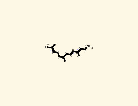 CC/C(C)=C/CCC(C)C/C=C/C(C)=C/CN